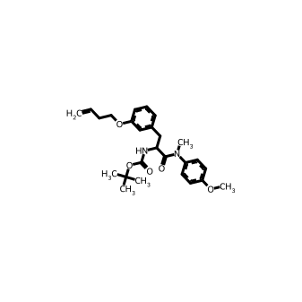 C=CCCOc1cccc(CC(NC(=O)OC(C)(C)C)C(=O)N(C)c2ccc(OC)cc2)c1